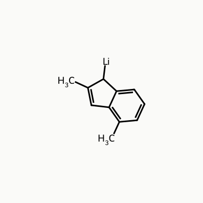 [Li][CH]1C(C)=Cc2c(C)cccc21